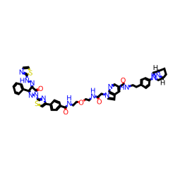 O=C(Cn1ccc2cc(C(=O)NCCc3ccc(N4C[C@H]5CC[C@@H](C4)N5)cc3)cnc21)NCCOCCNC(=O)c1ccc(-c2csc(N3N=C(c4ccccc4)/C(=N\Nc4nccs4)C3=O)n2)cc1